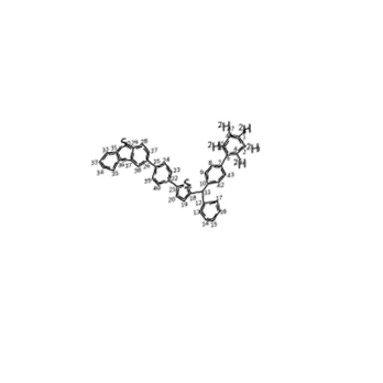 [2H]c1c([2H])c([2H])c(-c2ccc(C(c3ccccc3)c3ccc(-c4ccc(-c5ccc6sc7ccccc7c6c5)cc4)s3)cc2)c([2H])c1[2H]